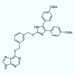 COc1ccc(-c2nc(SCc3cccc(CSc4ncnc5[nH]cnc45)c3)[nH]c2-c2ccc(OC)cc2)cc1